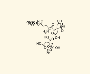 N[C@@H](CCC(=O)O)C(=O)OC(CC(=O)O)(CC(=O)O)C(=O)O.O.O.O=C(O)CC(O)(CC(=O)O)C(=O)O.[Zn].[Zn].[Zn].[Zn].[Zn]